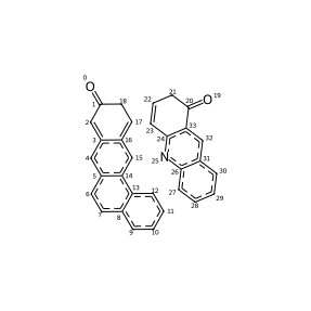 O=C1C=c2cc3ccc4ccccc4c3cc2=CC1.O=C1CC=Cc2nc3ccccc3cc21